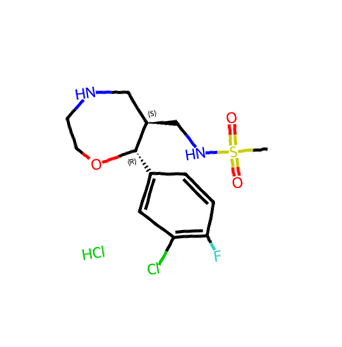 CS(=O)(=O)NC[C@@H]1CNCCO[C@H]1c1ccc(F)c(Cl)c1.Cl